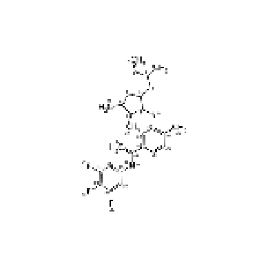 C=CC(C)CC1CC(C)C(C)C1Sc1cc(C(=C)Nc2cc(F)c(F)c(F)c2)ccc1C